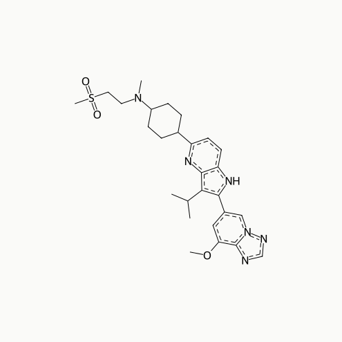 COc1cc(-c2[nH]c3ccc(C4CCC(N(C)CCS(C)(=O)=O)CC4)nc3c2C(C)C)cn2ncnc12